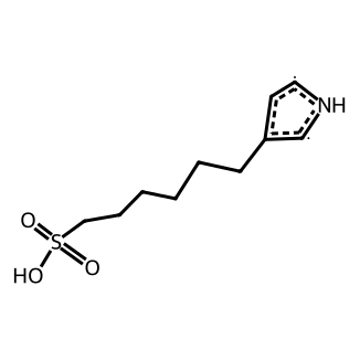 O=S(=O)(O)CCCCCCc1[c][nH][c]c1